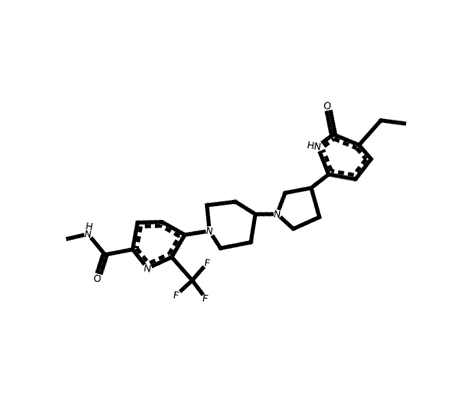 CCc1ccc(C2CCN(C3CCN(c4ccc(C(=O)NC)nc4C(F)(F)F)CC3)C2)[nH]c1=O